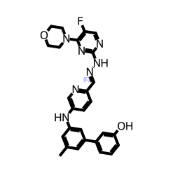 Cc1cc(Nc2ccc(/C=N/Nc3ncc(F)c(N4CCOCC4)n3)nc2)cc(-c2cccc(O)c2)c1